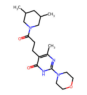 Cc1nc(N2CCOCC2)[nH]c(=O)c1CCC(=O)N1CC(C)CC(C)C1